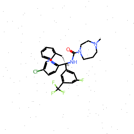 CN1CCCN(C(=O)N[C@@](Cc2ccccc2)(c2cc(F)cc(C(F)(F)F)c2)c2ccc(Cl)cn2)CC1